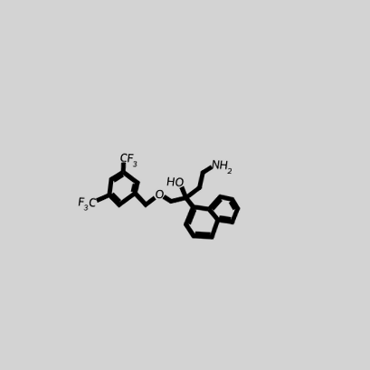 NCCC(O)(COCc1cc(C(F)(F)F)cc(C(F)(F)F)c1)c1cccc2ccccc12